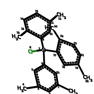 Cc1cc(C)cc([Si](Cl)(c2cc(C)ccc2C)c2cc(C)ccc2C)c1